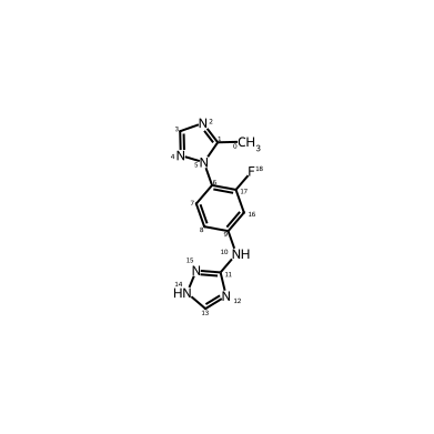 Cc1ncnn1-c1ccc(Nc2nc[nH]n2)cc1F